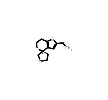 CCc1cc2c(s1)CCO[C@]21CCNC1